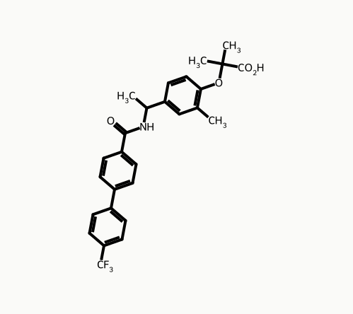 Cc1cc(C(C)NC(=O)c2ccc(-c3ccc(C(F)(F)F)cc3)cc2)ccc1OC(C)(C)C(=O)O